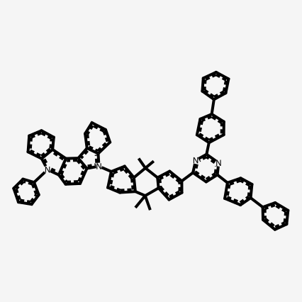 CC1(C)c2ccc(-c3cc(-c4ccc(-c5ccccc5)cc4)nc(-c4ccc(-c5ccccc5)cc4)n3)cc2C(C)(C)c2cc(-n3c4ccccc4c4c5c6ccccc6n(-c6ccccc6)c5ccc43)ccc21